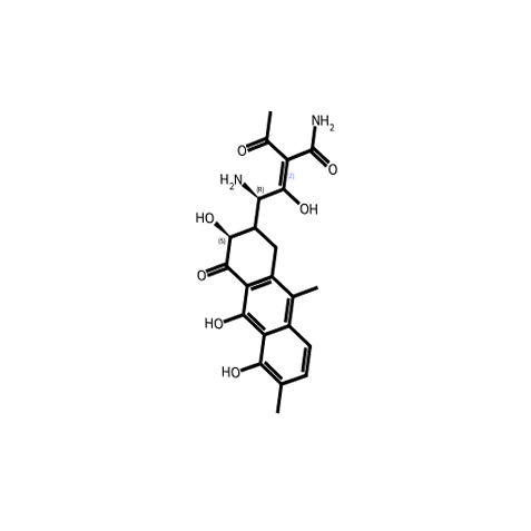 CC(=O)/C(C(N)=O)=C(/O)[C@H](N)C1Cc2c(c(O)c3c(O)c(C)ccc3c2C)C(=O)[C@H]1O